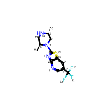 C[C@@H]1CN(c2nc3ncc(C(F)(F)F)cc3s2)[C@@H](C)CN1